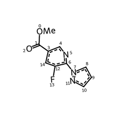 COC(=O)c1cnc(-n2cccn2)c(F)c1